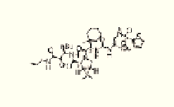 C=CCNC(=O)C(=O)C(CCCC)NC(=O)[C@@H]1[C@@H]2[C@H](CN1C(=O)[C@@H](NC(=O)N[C@H](CN(C)S(=O)(=O)c1cccs1)C(C)(C)C)C1(C)CCCCC1)C2(C)C